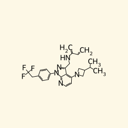 C=CC(=C)NCc1nn(-c2ccc(CC(F)(F)F)cc2)c2nccc(N3CC(C(C)C)C3)c12